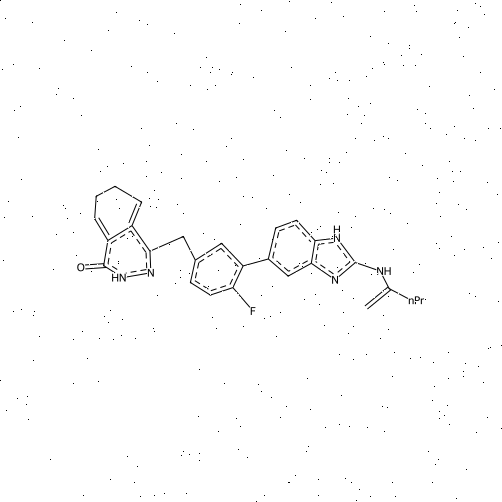 C=C(CCC)Nc1nc2cc(-c3cc(Cc4n[nH]c(=O)c5c4=CCCC=5)ccc3F)ccc2[nH]1